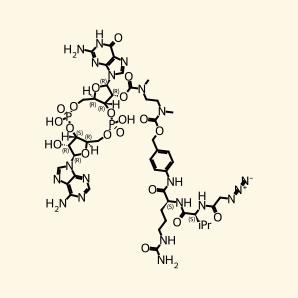 CC(C)[C@H](NC(=O)CN=[N+]=[N-])C(=O)N[C@@H](CCCNC(N)=O)C(=O)Nc1ccc(COC(=O)N(C)CCN(C)C(=O)O[C@@H]2[C@@H]3OP(=O)(O)OC[C@H]4O[C@@H](n5cnc6c(N)ncnc65)[C@H](O)[C@@H]4OP(=O)(O)OC[C@H]3O[C@H]2n2cnc3c(=O)[nH]c(N)nc32)cc1